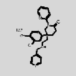 Cl.O=C1CC[C@](CCNCc2ccncc2)(c2ccc(Cl)c(Cl)c2)CN1c1ccccn1